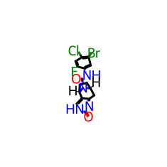 O=C(Nc1cc(Br)c(Cl)cc1F)N1[C@H]2CC[C@@H]1c1c[nH]c(=O)nc1C2